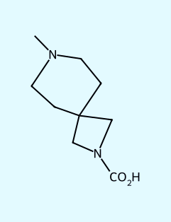 CN1CCC2(CC1)CN(C(=O)O)C2